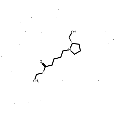 CCOC(=O)CCCCN1CCC[C@H]1CO